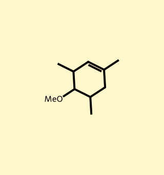 COC1C(C)C=C(C)CC1C